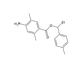 CCC(OC(=O)c1cc(C)c(N)cc1C)c1ccc(C)cc1